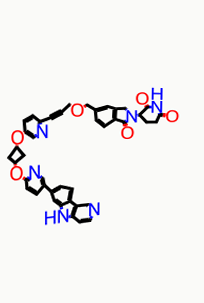 O=C1CCC(N2Cc3cc(COCC#Cc4ccc(OC5CC(Oc6ccc(-c7ccc8c(c7)[nH]c7ccncc78)cn6)C5)cn4)ccc3C2=O)C(=O)N1